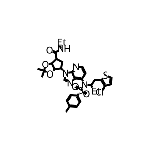 CCNC(=O)C1CC(n2cnc3c(N(C(CC)Cc4sccc4Cl)S(=O)(=O)c4ccc(C)cc4)ccnc32)C2OC(C)(C)OC12